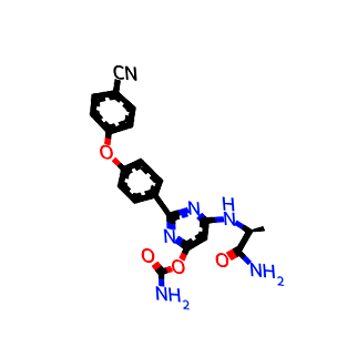 C[C@H](Nc1cc(OC(N)=O)nc(-c2ccc(Oc3ccc(C#N)cc3)cc2)n1)C(N)=O